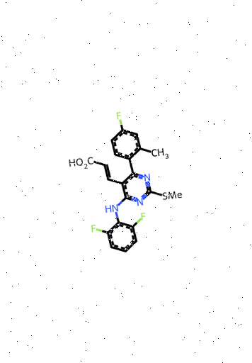 CSc1nc(Nc2c(F)cccc2F)c(C=CC(=O)O)c(-c2ccc(F)cc2C)n1